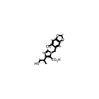 CC(CS)c1ncn(Cc2cc3c(cc2Cl)OCO3)c1C(=O)O